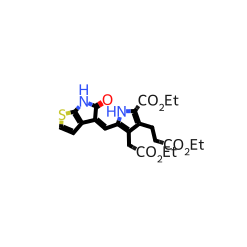 CCOC(=O)CCc1c(C(=O)OCC)[nH]c(C=C2C(=O)Nc3sccc32)c1CC(=O)OCC